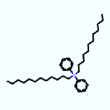 CCCCCCCCCCCC[N+](CCCCCCCCCCCC)(c1ccccc1)c1ccccc1.[I-]